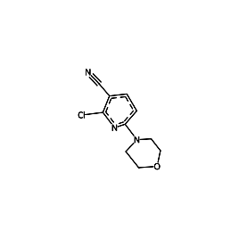 N#Cc1ccc(N2CCOCC2)nc1Cl